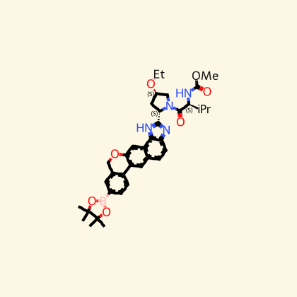 CCO[C@H]1C[C@@H](c2nc3ccc4cc5c(cc4c3[nH]2)OCc2cc(B3OC(C)(C)C(C)(C)O3)ccc2-5)N(C(=O)[C@@H](NC(=O)OC)C(C)C)C1